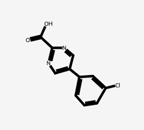 O=C(O)c1ncc(-c2cccc(Cl)c2)cn1